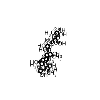 C[C@@H]1O[C@@H](O[C@H]2[C@H](O[C@H]3CC[C@]4(C)[C@H]5CC=C6[C@@H]7CC(C)(C)CC[C@]7(C(=O)O[C@@H]7O[C@H](CO[C@@H]8O[C@H](CO)[C@@H](O[C@@H]9O[C@@H](C)[C@H](O)[C@@H](O)[C@H]9O)[C@H](O)[C@H]8O)[C@@H](O)[C@H](O)[C@H]7O)CC[C@@]6(C)[C@]5(C)CC[C@]45C=C(O)[C@]35C)OC[C@H](O)[C@@H]2O)[C@H](O)[C@H](O)[C@H]1O